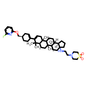 CC1(C)C(C2=CC[C@H](COc3cccc(F)n3)CC2)=CC[C@@]2(C)C1CC[C@]1(C)C2CC[C@@H]2[C@H]3CCC[C@]3(NCCN3CCS(=O)(=O)CC3)CC[C@]21C